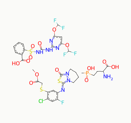 COC(=O)CSc1cc(/N=c2\sc(=O)n3n2CCCC3)c(F)cc1Cl.CP(=O)(O)CCC(N)C(=O)O.O=C(Nc1nc(OC(F)F)cc(OC(F)F)n1)NS(=O)(=O)c1ccccc1C(=O)O